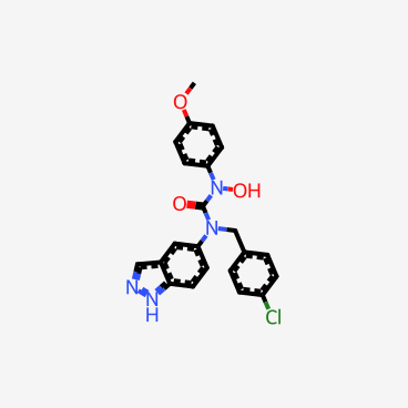 COc1ccc(N(O)C(=O)N(Cc2ccc(Cl)cc2)c2ccc3[nH]ncc3c2)cc1